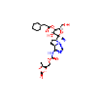 Cc1oc(=O)oc1COC(=O)Nc1ncnn2c([C@]3(C#N)O[C@H](CO)[C@@H](OC(=O)CC4CCCCC4)[C@H]3O)ccc12